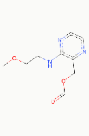 COCCNc1nccnc1COC=O